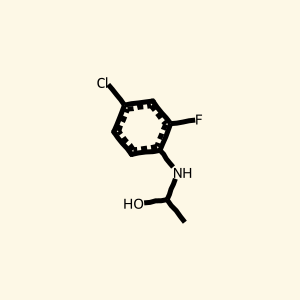 CC(O)Nc1ccc(Cl)cc1F